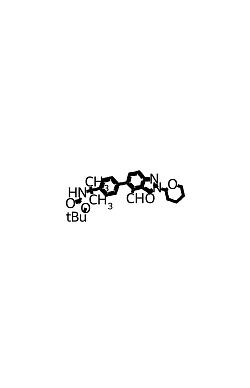 CC(C)(C)OC(=O)NC(C)(C)c1ccc(-c2ccc3nn(C4CCCCO4)cc3c2C=O)cc1